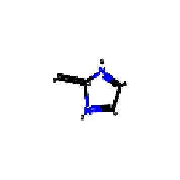 [C]=C1N=CC=N1